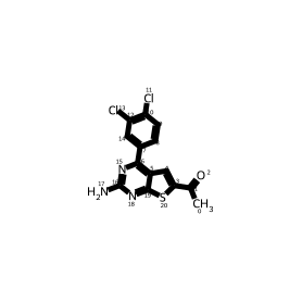 CC(=O)c1cc2c(-c3ccc(Cl)c(Cl)c3)nc(N)nc2s1